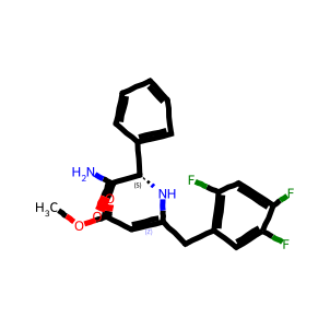 COC(=O)/C=C(/Cc1cc(F)c(F)cc1F)N[C@H](C(N)=O)c1ccccc1